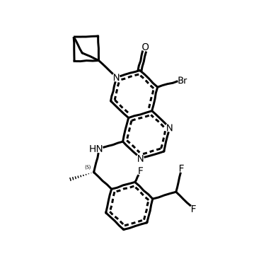 C[C@H](Nc1ncnc2c(Br)c(=O)n(C34CC(C3)C4)cc12)c1cccc(C(F)F)c1F